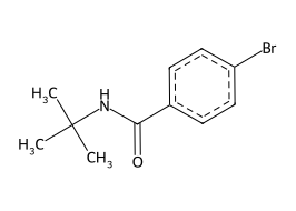 CC(C)(C)NC(=O)c1ccc(Br)cc1